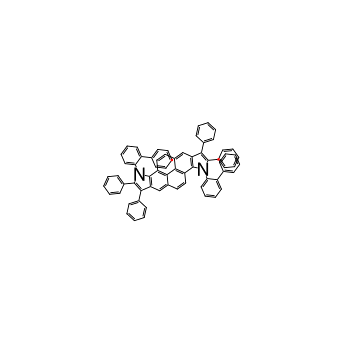 c1ccc(-c2ccccc2-n2c(-c3ccccc3)c(-c3ccccc3)c3cc4ccc5c6c(ccc(c46)c32)cc2c(-c3ccccc3)c(-c3ccccc3)n(-c3ccccc3-c3ccccc3)c25)cc1